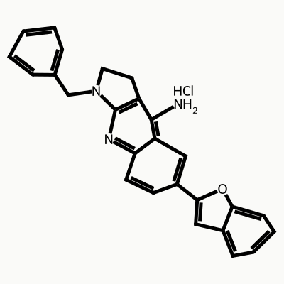 Cl.Nc1c2c(nc3ccc(-c4cc5ccccc5o4)cc13)N(Cc1ccccc1)CC2